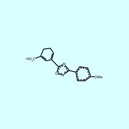 COc1ccc(-c2noc(C3=CCCC(C(=O)O)=C3)n2)cc1